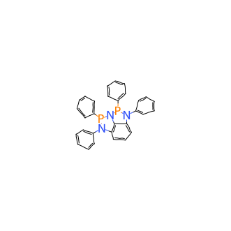 c1ccc(N2c3cccc4c3N(P2c2ccccc2)P(c2ccccc2)N4c2ccccc2)cc1